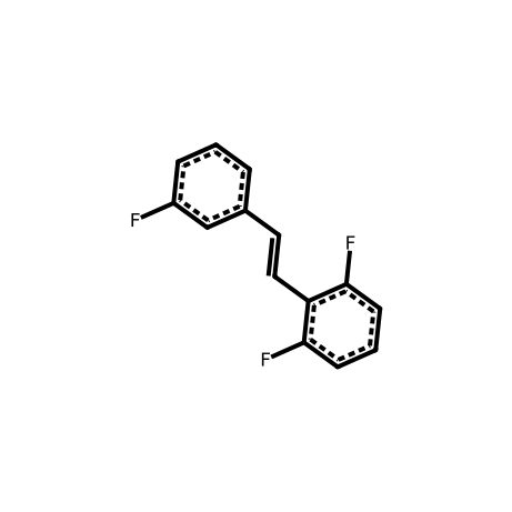 Fc1cccc(/C=C/c2c(F)cccc2F)c1